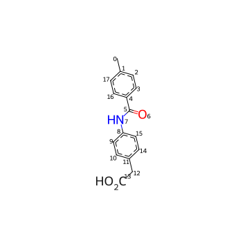 Cc1ccc(C(=O)Nc2ccc(CC(=O)O)cc2)cc1